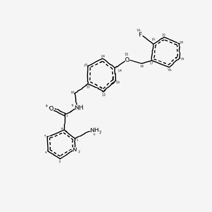 Nc1ncccc1C(=O)NCc1ccc(OCc2ccccc2F)cc1